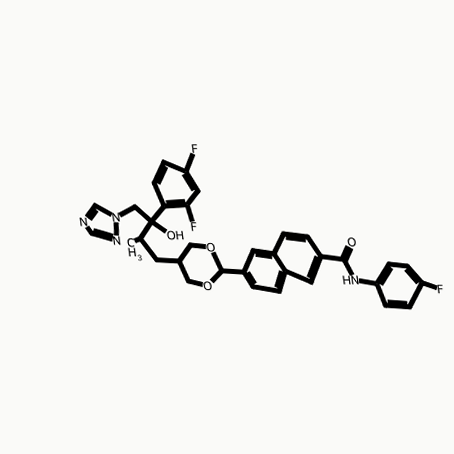 CC(CC1COC(c2ccc3cc(C(=O)Nc4ccc(F)cc4)ccc3c2)OC1)C(O)(Cn1cncn1)c1ccc(F)cc1F